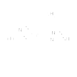 C=CCCn1nc(CCC)n(Cc2ccc(-c3ccccc3-c3nnn[nH]3)cc2)c1=O